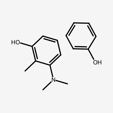 Cc1c(O)cccc1N(C)C.Oc1ccccc1